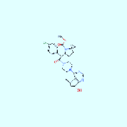 C[C@@H]1C[C@@H](O)c2ncnc(N3CCN(C(=O)[C@@H](c4ccc(Cl)cc4)[C@@H]4CCC5(CC5)N4C(=O)OC(C)(C)C)CC3)c21